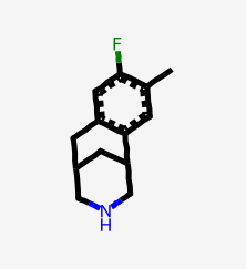 Cc1cc2c(cc1F)CC1CNCC2C1